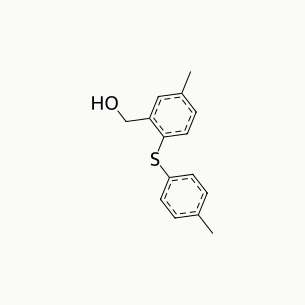 Cc1ccc(Sc2ccc(C)cc2CO)cc1